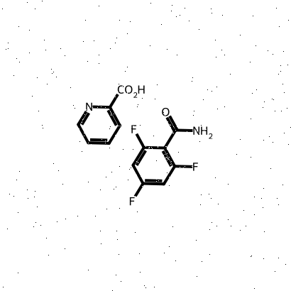 NC(=O)c1c(F)cc(F)cc1F.O=C(O)c1ccccn1